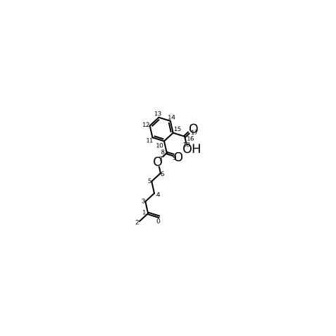 C=C(C)CCCCOC(=O)c1ccccc1C(=O)O